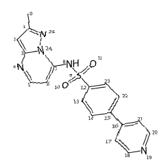 Cc1cc2nccc(NS(=O)(=O)c3ccc(-c4ccncc4)cc3)n2n1